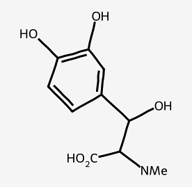 CNC(C(=O)O)C(O)c1ccc(O)c(O)c1